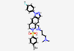 CN(C)CCCNC[C@]12Cc3cnn(-c4ccc(F)cc4)c3C=C1CCN(S(=O)(=O)c1ccc(C(C)(C)C)cc1)C2